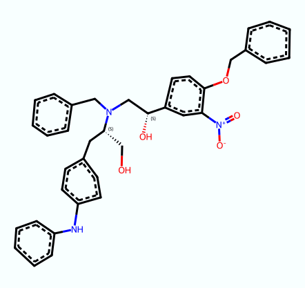 O=[N+]([O-])c1cc([C@H](O)CN(Cc2ccccc2)[C@H](CO)Cc2ccc(Nc3ccccc3)cc2)ccc1OCc1ccccc1